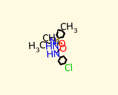 Cc1ccc(S(=O)(=NCC(C)C)NC(=O)Nc2ccc(Cl)cc2)cc1